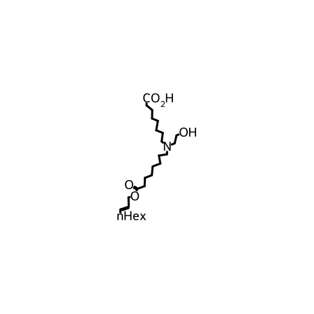 CCCCCCC=CCOC(=O)CCCCCCCN(CCO)CCCCCCCC(=O)O